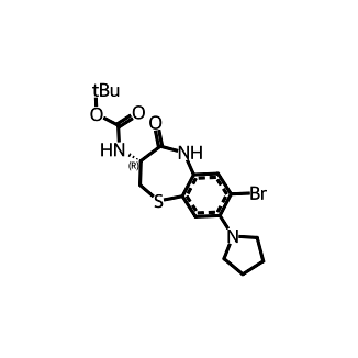 CC(C)(C)OC(=O)N[C@H]1CSc2cc(N3CCCC3)c(Br)cc2NC1=O